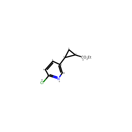 CCOC(=O)C1CC1c1ccc(Cl)nc1